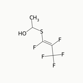 CC(O)SC(F)=C(F)C(F)(F)F